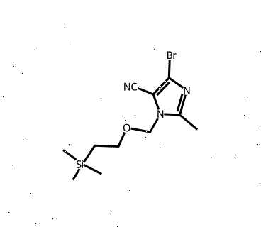 Cc1nc(Br)c(C#N)n1COCC[Si](C)(C)C